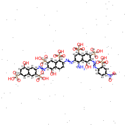 Nc1c(N=Nc2ccc3c(O)c(N=Nc4cc5c(O)cc(S(=O)(=O)O)cc5cc4S(=O)(=O)O)c(S(=O)(=O)O)cc3c2S(=O)(=O)O)cc(S(=O)(=O)O)c2cc(S(=O)(=O)O)c(N=Nc3ccc([N+](=O)[O-])cc3S(=O)(=O)O)c(O)c12